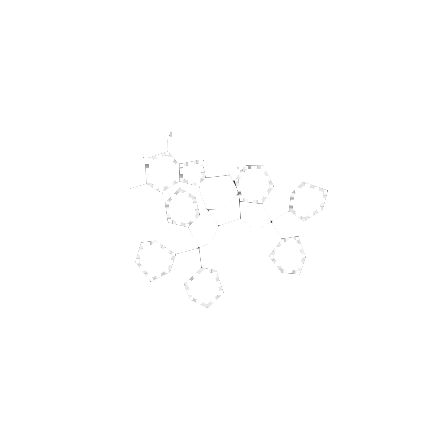 CC(=O)OC1c2nc3c(N)nc(C)nc3n2C2OC1C(OC(c1ccccc1)(c1ccccc1)c1ccccc1)C2OC(c1ccccc1)(c1ccccc1)c1ccccc1